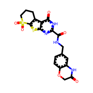 O=C1COc2ccc(CNC(=O)c3nc4sc5c(c4c(=O)[nH]3)CCCS5(=O)=O)cc2N1